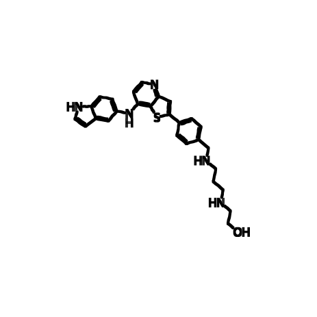 OCCNCCCNCc1ccc(-c2cc3nccc(Nc4ccc5[nH]ccc5c4)c3s2)cc1